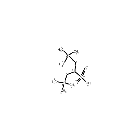 C[Si](C)(C)CN(C[Si](C)(C)C)S(=O)(=O)O